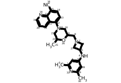 Cc1cc(NC2CN(CC3CN(c4ccc(C#N)c5ncccc45)CC(C)O3)C2)cc(C)n1